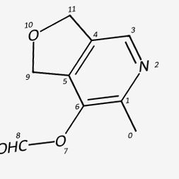 Cc1ncc2c(c1OC=O)COC2